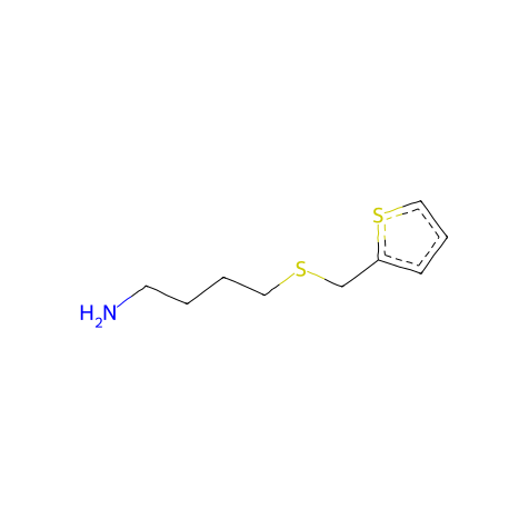 NCCCCSCc1cccs1